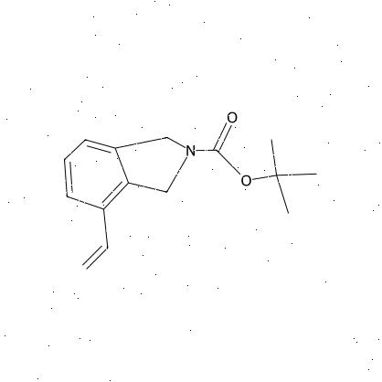 C=Cc1cccc2c1CN(C(=O)OC(C)(C)C)C2